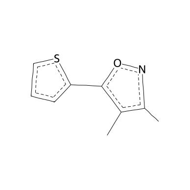 Cc1noc(-c2cccs2)c1C